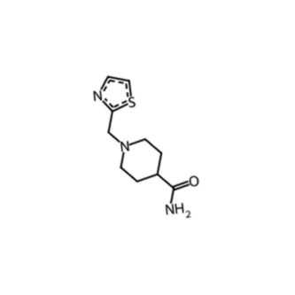 NC(=O)C1CCN(Cc2nccs2)CC1